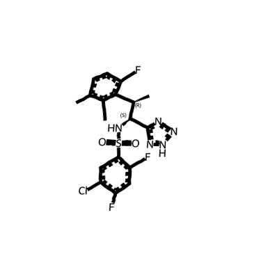 Cc1ccc(F)c([C@@H](C)[C@H](NS(=O)(=O)c2cc(Cl)c(F)cc2F)c2nn[nH]n2)c1C